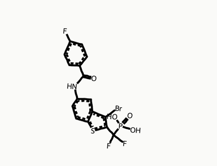 O=C(Nc1ccc2sc(C(F)(F)P(=O)(O)O)c(Br)c2c1)c1ccc(F)cc1